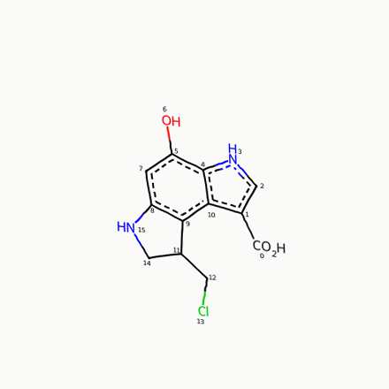 O=C(O)c1c[nH]c2c(O)cc3c(c12)C(CCl)CN3